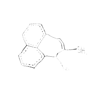 [SiH3]C1=Cc2cccc3cccc(c23)C1[SiH3]